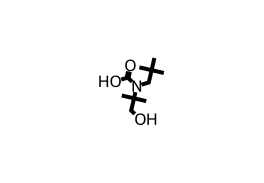 CC(C)(C)CN(C(=O)O)C(C)(C)CO